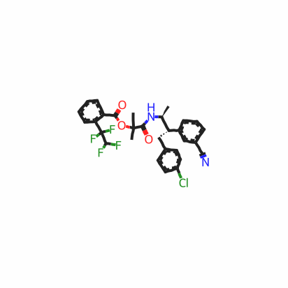 C[C@H](NC(=O)C(C)(C)OC(=O)c1ccccc1C(F)(F)C(F)F)[C@@H](Cc1ccc(Cl)cc1)c1cccc(C#N)c1